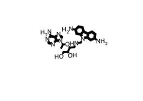 CC(OC(CNCn1c2cc(N)ccc2c2ccc(N)cc21)C(O)CO)n1cnc2c(N)ncnc21